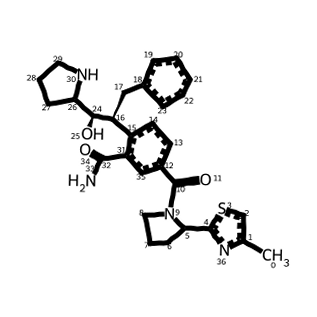 Cc1csc(C2CCCN2C(=O)c2ccc([C@H](Cc3ccccc3)[C@@H](O)C3CCCN3)c(C(N)=O)c2)n1